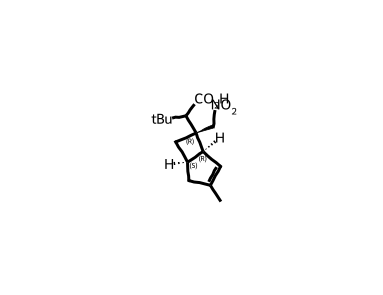 CC1=C[C@H]2[C@@H](C1)C[C@]2(C[N+](=O)[O-])C(C(=O)O)C(C)(C)C